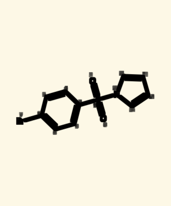 O=S(=O)(c1ccc(Br)cc1)n1cccc1